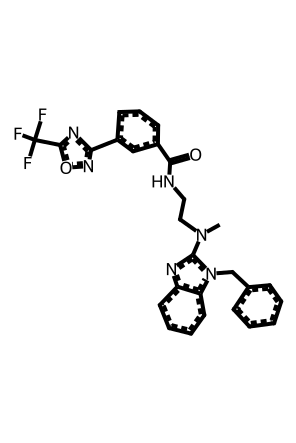 CN(CCNC(=O)c1cccc(-c2noc(C(F)(F)F)n2)c1)c1nc2ccccc2n1Cc1ccccc1